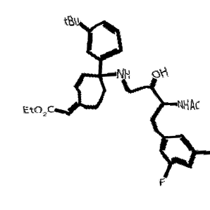 CCOC(=O)C=C1CCC(NCC(O)C(Cc2cc(F)cc(F)c2)NC(C)=O)(c2cccc(C(C)(C)C)c2)CC1